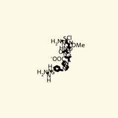 CO/N=C(\C(=O)N[C@@H]1C(=O)N2C(C(=O)[O-])=C(C[n+]3ccc4n(Cc5cccc(SNC(=N)N)c5)ccn43)CS[C@H]12)c1nc(N)sc1Cl